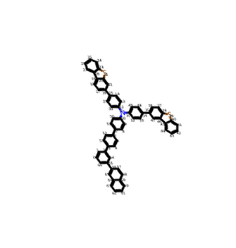 c1cc(-c2ccc(-c3ccc(N(c4ccc(-c5ccc6c(c5)sc5ccccc56)cc4)c4ccc(-c5ccc6sc7ccccc7c6c5)cc4)cc3)cc2)cc(-c2ccc3ccccc3c2)c1